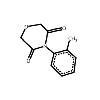 Cc1ccccc1N1C(=O)COCC1=O